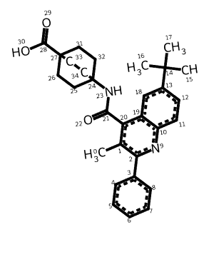 Cc1c(-c2ccccc2)nc2ccc(C(C)(C)C)cc2c1C(=O)NC12CCC(C(=O)O)(CC1)CC2